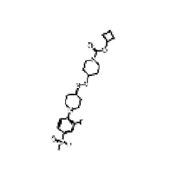 CS(=O)(=O)c1ccc(N2CCC(=NOC3CCN(C(=O)OC4CCC4)CC3)CC2)c(F)c1